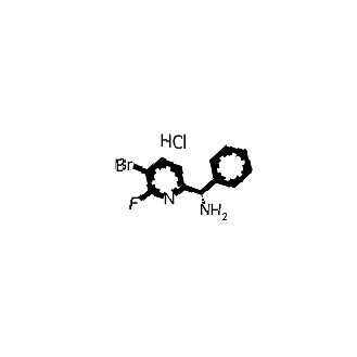 Cl.N[C@@H](c1ccccc1)c1ccc(Br)c(F)n1